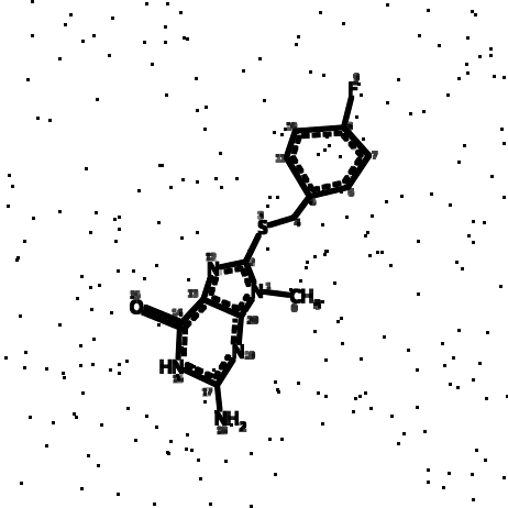 Cn1c(SCc2ccc(F)cc2)nc2c(=O)[nH]c(N)nc21